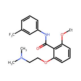 CCOc1cccc(OCCN(C)C)c1C(=O)Nc1cccc(C(F)(F)F)c1